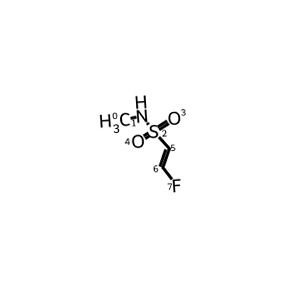 CNS(=O)(=O)/C=C/F